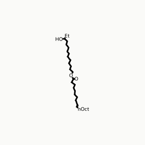 CCCCCCCC/C=C/CCCCCCCC(=O)OCCCCCCCCCCCC(O)CC